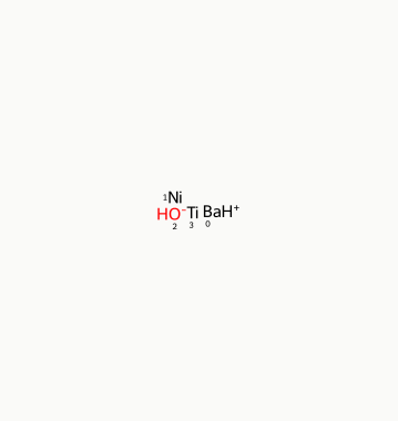 [BaH+].[Ni].[OH-].[Ti]